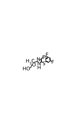 CC(C)c1nc(C(C)OCCO)[nH]c1Sc1cc(F)cc(F)c1